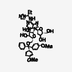 CCC(Nc1ncnc2c1N=C[N+]2([C@@H]1C[C@H](O)[C@@H](CO)O1)[C@@H]1O[C@H](COC(c2ccccc2)(c2ccc(OC)cc2)c2ccc(OC)cc2)[C@@H](O)[C@H]1O)n1ccnc1